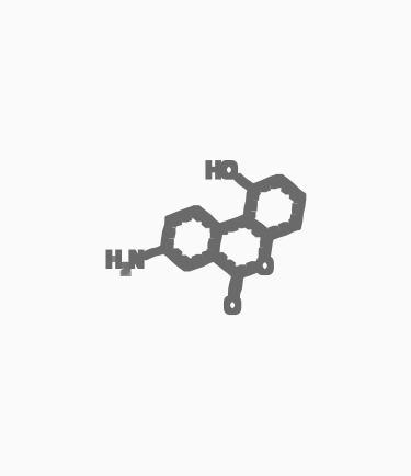 Nc1ccc2c(c1)c(=O)oc1cccc(O)c12